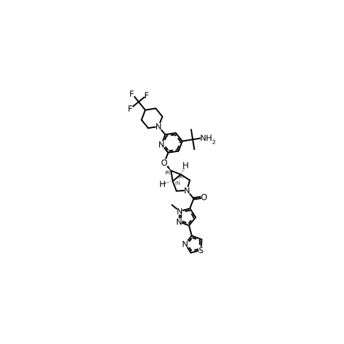 Cn1nc(-c2cscn2)cc1C(=O)N1C[C@@H]2[C@H](C1)[C@@H]2Oc1cc(C(C)(C)N)cc(N2CCC(C(F)(F)F)CC2)n1